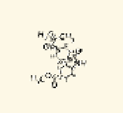 COC(=O)c1ccc2c(c1)C1(CCN(C(=O)C(C)C)CC1)C(=O)N2